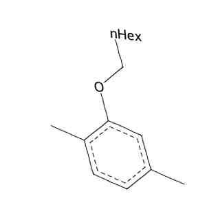 CCCCCCCOc1cc(C)ccc1C